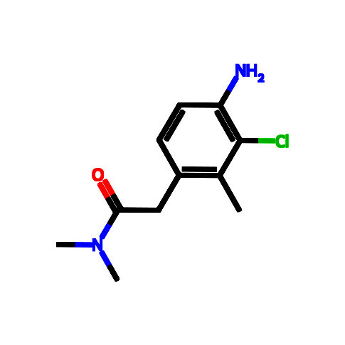 Cc1c(CC(=O)N(C)C)ccc(N)c1Cl